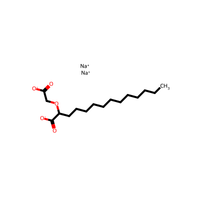 CCCCCCCCCCCCC(OCC(=O)[O-])C(=O)[O-].[Na+].[Na+]